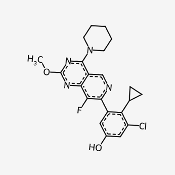 COc1nc(N2CCCCC2)c2cnc(-c3cc(O)cc(Cl)c3C3CC3)c(F)c2n1